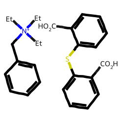 CC[N+](CC)(CC)Cc1ccccc1.O=C(O)c1ccccc1Sc1ccccc1C(=O)O